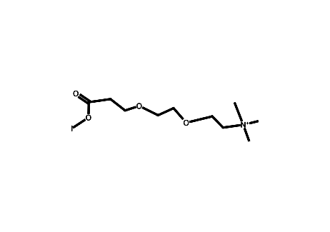 C[N+](C)(C)CCOCCOCCC(=O)OI